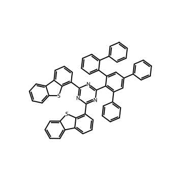 c1ccc(-c2cc(-c3ccccc3)c(-c3nc(-c4cccc5c4sc4ccccc45)nc(-c4cccc5c4sc4ccccc45)n3)c(-c3ccccc3-c3ccccc3)c2)cc1